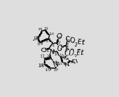 CCOC(=O)C(OC(=O)C(C(=O)N(Cc1cnc(Cl)s1)c1ccccn1)c1ccccc1)C(=O)OCC